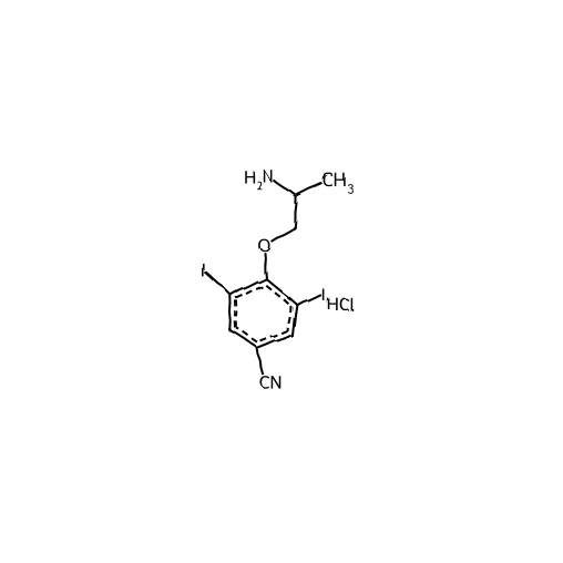 CC(N)COc1c(I)cc(C#N)cc1I.Cl